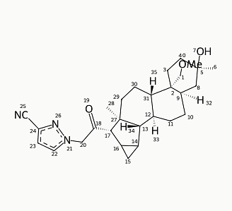 COC[C@]12CC[C@@](C)(O)C[C@H]1CC[C@H]1[C@@H]3C4CC4[C@H](C(=O)Cn4ccc(C#N)n4)[C@@]3(C)CC[C@@H]12